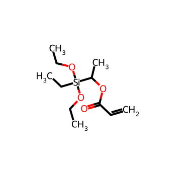 C=CC(=O)OC(C)[Si](CC)(OCC)OCC